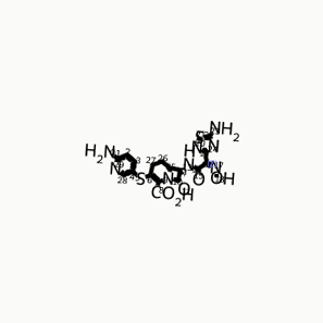 Nc1ccc(SC2=C(C(=O)O)N3C(=O)[C@@H](NC(=O)/C(=N\O)c4nsc(N)n4)C3CC2)cn1